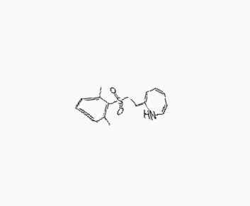 Cc1cccc(C)c1S(=O)(=O)CCC1=CC=CC=CN1